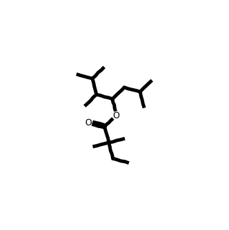 CCC(C)(C)C(=O)OC(CC(C)C)C(C)C(C)C